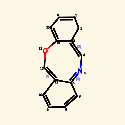 C1=CC/C2=C/N=c3/cccc/c3=C/OC2=C1